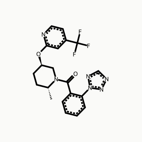 C[C@@H]1CC[C@@H](Oc2cc(C(F)(F)F)ccn2)CN1C(=O)c1ccccc1-n1ncnn1